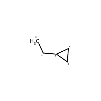 CC[C]1CC1